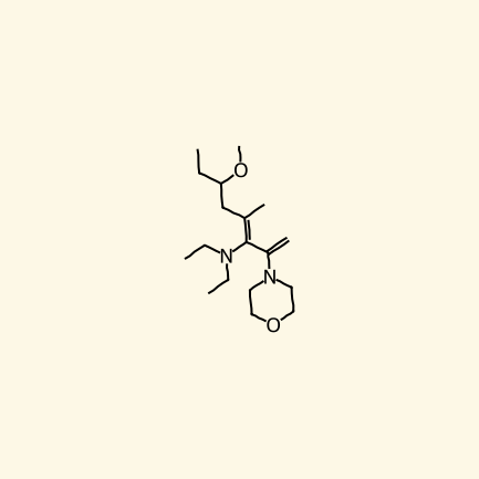 C=C(/C(=C(\C)CC(CC)OC)N(CC)CC)N1CCOCC1